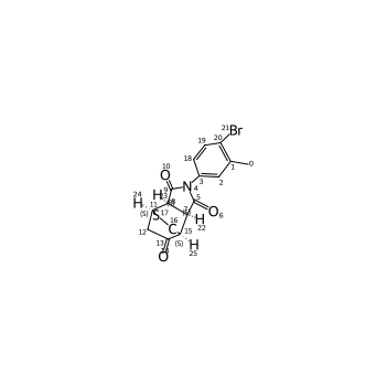 Cc1cc(N2C(=O)[C@@H]3[C@H](C2=O)[C@@H]2CC(=O)[C@H]3CS2)ccc1Br